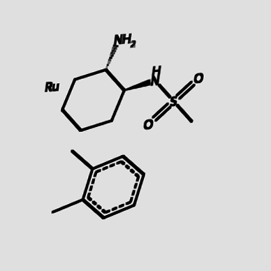 CS(=O)(=O)N[C@H]1CCCC[C@@H]1N.Cc1ccccc1C.[Ru]